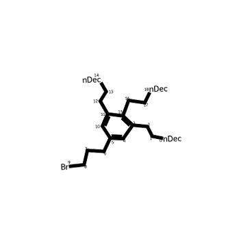 CCCCCCCCCCCCc1cc(CCCBr)cc(CCCCCCCCCCCC)c1CCCCCCCCCCCC